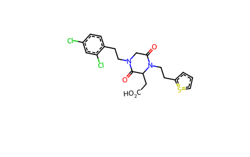 O=C(O)CC1C(=O)N(CCc2ccc(Cl)cc2Cl)CC(=O)N1CCc1cccs1